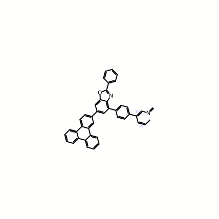 C=N/C=C(\C=C/C)c1ccc(-c2cc(-c3ccc4c5ccccc5c5ccccc5c4c3)cc3oc(-c4ccccc4)nc23)cc1